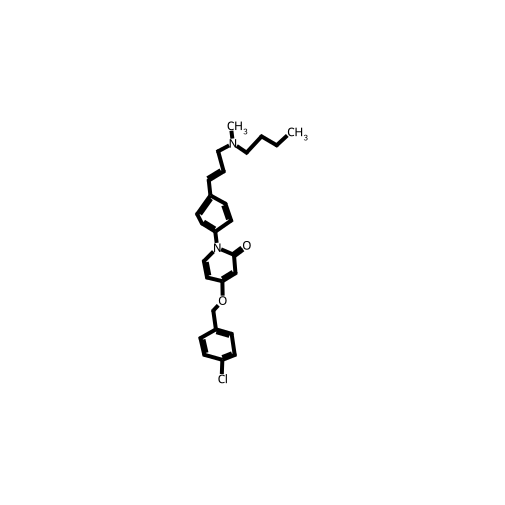 CCCCN(C)CC=Cc1ccc(-n2ccc(OCc3ccc(Cl)cc3)cc2=O)cc1